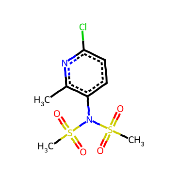 Cc1nc(Cl)ccc1N(S(C)(=O)=O)S(C)(=O)=O